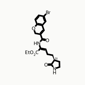 CCOC(=O)C(=CCC[C@H]1CCNC1=O)NC(=O)C1=Cc2cc(Br)ccc2OC1